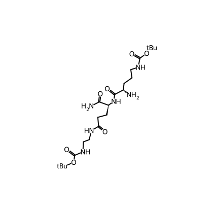 CC(C)(C)OC(=O)NCCC[C@@H](N)C(=O)N[C@@H](CCC(=O)NCCNC(=O)OC(C)(C)C)C(N)=O